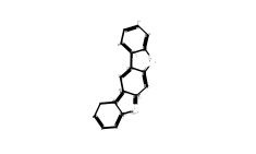 C1=CCC2=c3cc4c(cc3=NC2=C1)[nH]c1ccccc14